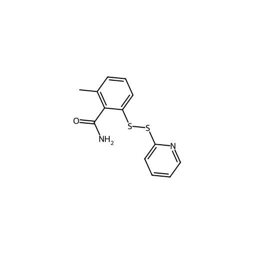 Cc1cccc(SSc2ccccn2)c1C(N)=O